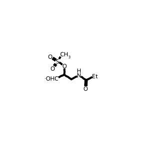 CCC(=O)NCC([C]=O)OS(C)(=O)=O